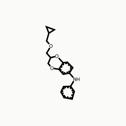 c1ccc(Nc2ccc3c(c2)OCC(COCC2CC2)O3)cc1